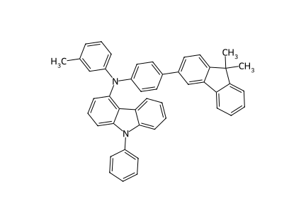 Cc1cccc(N(c2ccc(-c3ccc4c(c3)-c3ccccc3C4(C)C)cc2)c2cccc3c2c2ccccc2n3-c2ccccc2)c1